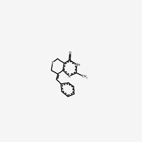 Cc1nc2c(c(=O)[nH]1)CSC/C2=C/c1ccccc1